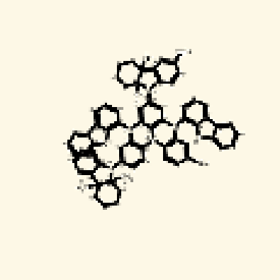 CC(C)(C)c1ccc2c(c1)N(c1cccc3c1oc1ccccc13)c1cc(N3c4ccc(C(C)(C)C)cc4C4(C)CCCCC34C)cc3c1B2c1ccc(N2c4ccccc4C4(C)CCCCC24C)cc1N3c1cccc2c1sc1ccccc12